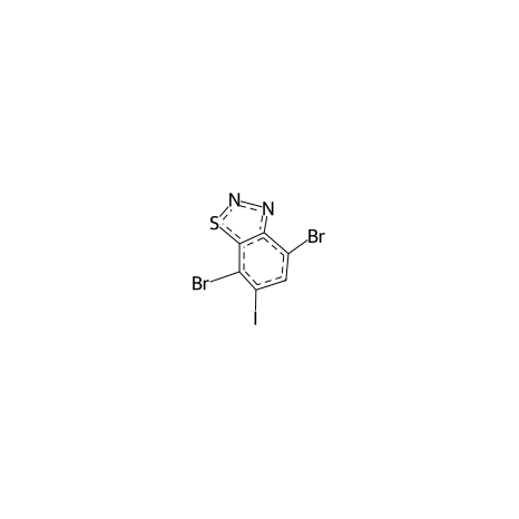 Brc1cc(I)c(Br)c2snnc12